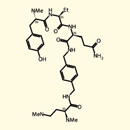 CC[C@H](NC(=O)[C@H](Cc1ccc(O)cc1)NC)C(=O)N[C@@H](CCC(N)=O)C(=O)NCc1ccc(CNC(=O)[C@H](CCNC)NC)cc1